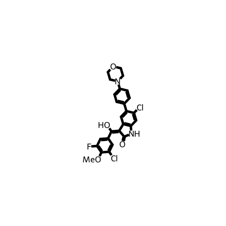 COc1c(F)cc(C(O)=C2C(=O)Nc3cc(Cl)c(-c4ccc(N5CCOCC5)cc4)cc32)cc1Cl